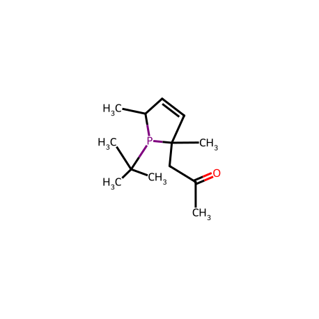 CC(=O)CC1(C)C=CC(C)P1C(C)(C)C